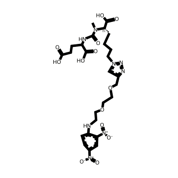 CN(C(=O)NC(CCC(=O)O)C(=O)O)[C@@H](CCCCn1cc(COCCOCCNc2ccc([N+](=O)[O-])cc2[N+](=O)[O-])nn1)C(=O)O